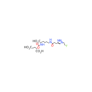 O=C(O)CC[C@H](OC(=O)N[C@@H](CCCCNC(=O)CCc1cn(CCF)nn1)C(=O)O)C(=O)O